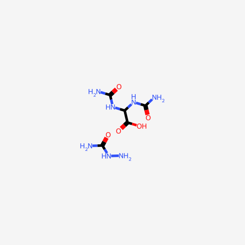 NC(=O)NC(NC(N)=O)C(=O)O.NNC(N)=O